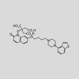 O=C(O)CC(CC(=O)O)(On1c(=O)ccc2ccc(OCCCCN3CCN(c4cccc5sccc45)CC3)cc21)C(=O)O